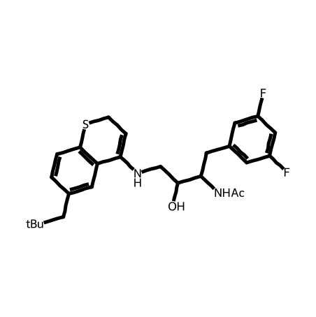 CC(=O)NC(Cc1cc(F)cc(F)c1)C(O)CNC1=CCSc2ccc(CC(C)(C)C)cc21